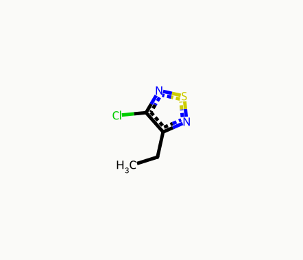 CCc1nsnc1Cl